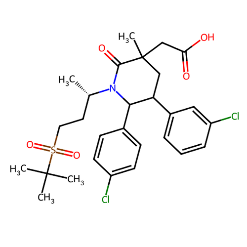 C[C@@H](CCS(=O)(=O)C(C)(C)C)N1C(=O)C(C)(CC(=O)O)CC(c2cccc(Cl)c2)C1c1ccc(Cl)cc1